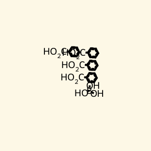 O=C(O)c1ccccc1.O=C(O)c1ccccc1.O=C(O)c1ccccc1.O=C(O)c1ccccc1.OB(O)O